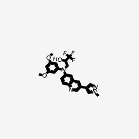 COc1cc(OC)cc(N(CC(O)C(F)(F)F)c2ccc3ncc(-c4cnn(C)c4)cc3c2)c1